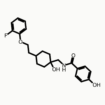 O=C(NCC1(O)CCC(CCOc2ccccc2F)CC1)c1ccc(O)cc1